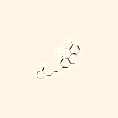 Cc1cc(OCCN2CCCC2=O)cc(C)c1-c1cccc(C=O)c1C